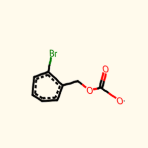 [O]C(=O)OCc1ccccc1Br